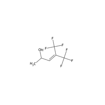 CC(O)C=C(C(F)(F)F)C(F)(F)F